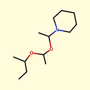 CCC(C)OC(C)OC(C)N1CCCCC1